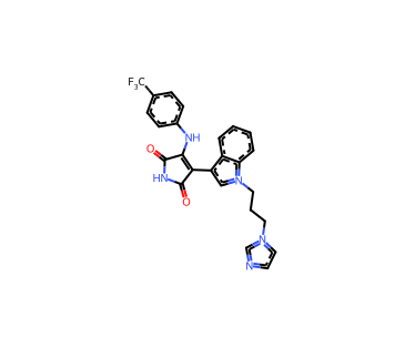 O=C1NC(=O)C(c2cn(CCCn3ccnc3)c3ccccc23)=C1Nc1ccc(C(F)(F)F)cc1